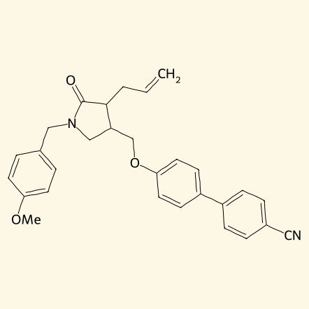 C=CCC1C(=O)N(Cc2ccc(OC)cc2)CC1COc1ccc(-c2ccc(C#N)cc2)cc1